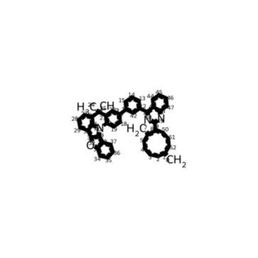 C=c1ccccc(=C)c(-c2nc(-c3cccc(-c4ccc5c(c4)C(C)(C)c4cccc6c7oc8ccccc8c7n-5c46)c3)c3ccccc3n2)ccc1